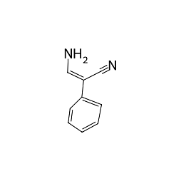 N#C/C(=C\N)c1ccccc1